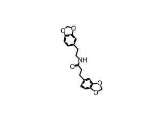 O=C(CCc1ccc2c(c1)OCO2)NCCc1ccc2c(c1)OCO2